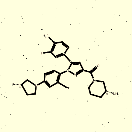 Cc1ccc(-c2cc(C(=O)N3CCC[C@@H](N)C3)nn2-c2ccc(N3CC[C@H](F)C3)cc2F)cc1F